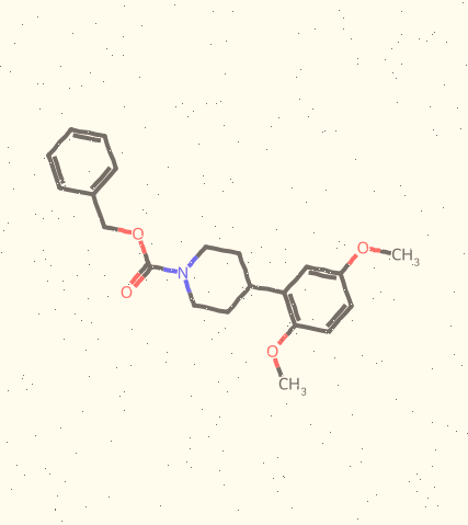 COc1ccc(OC)c(C2CCN(C(=O)OCc3ccccc3)CC2)c1